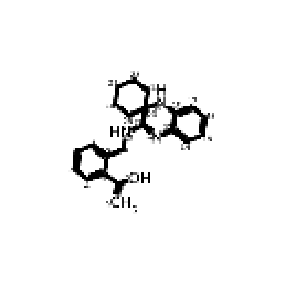 C=C(O)c1ccccc1CNC1=Nc2ccccc2NC12CCCCC2